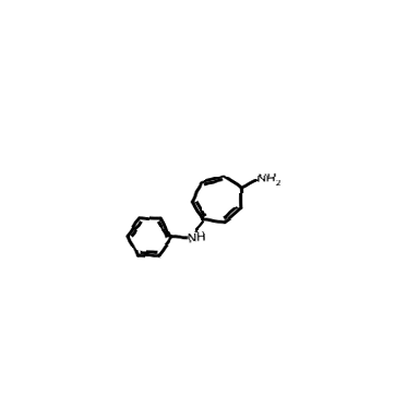 NC1C=CC=C(Nc2ccccc2)C=C1